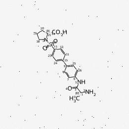 C[C@@H](N)C(=O)Nc1ccc(-c2ccc(S(=O)(=O)N3CCC[C@@H]3C(=O)O)cc2)cc1